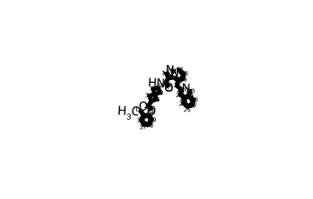 CC(OC(=O)C1CC2(CC(NC(=O)c3cnn4cccc(Cc5cc6ccccc6cn5)c34)C2)C1)c1ccccc1